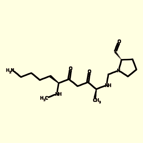 CN[C@@H](CCCCN)C(=O)CC(=O)[C@H](C)NCN1CCC[C@H]1C=O